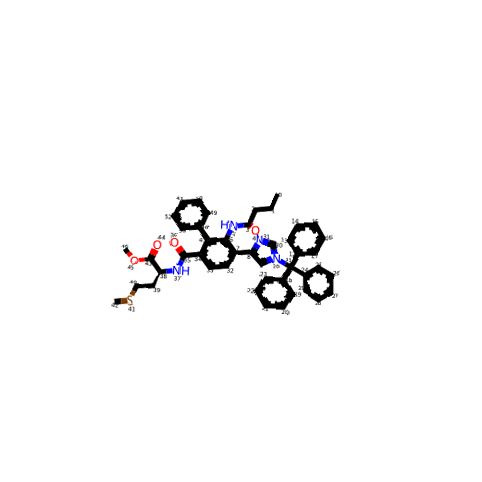 CCCC(=O)Nc1c(-c2cn(C(c3ccccc3)(c3ccccc3)c3ccccc3)cn2)ccc(C(=O)N[C@@H](CCSC)C(=O)OC)c1-c1ccccc1